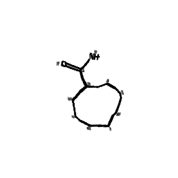 [NH]C(=O)C1CCCCCCC1